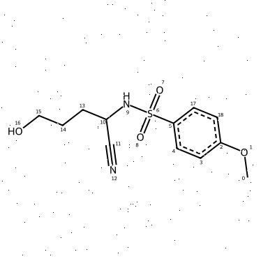 COc1ccc(S(=O)(=O)NC(C#N)CCCO)cc1